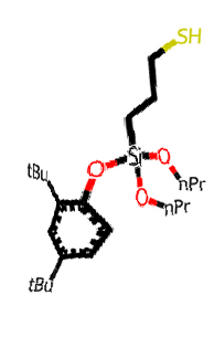 CCCO[Si](CCCS)(OCCC)Oc1ccc(C(C)(C)C)cc1C(C)(C)C